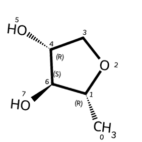 C[C@H]1OC[C@@H](O)[C@@H]1O